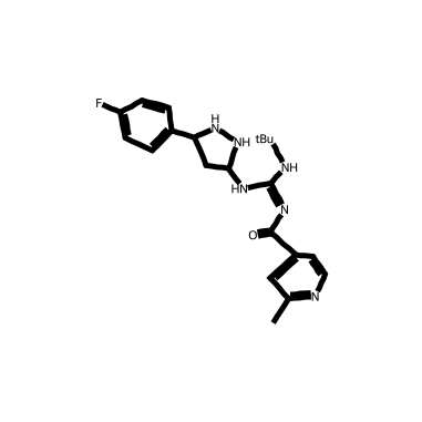 Cc1cc(C(=O)/N=C(\NC2CC(c3ccc(F)cc3)NN2)NC(C)(C)C)ccn1